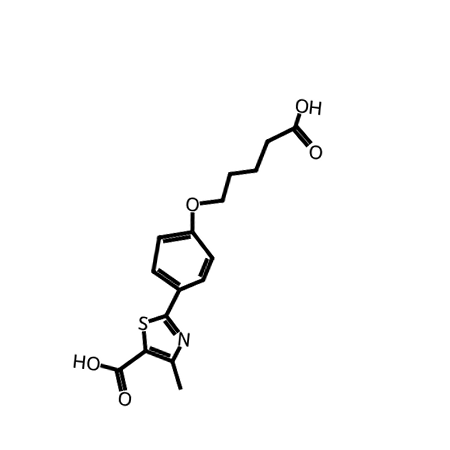 Cc1nc(-c2ccc(OCCCCC(=O)O)cc2)sc1C(=O)O